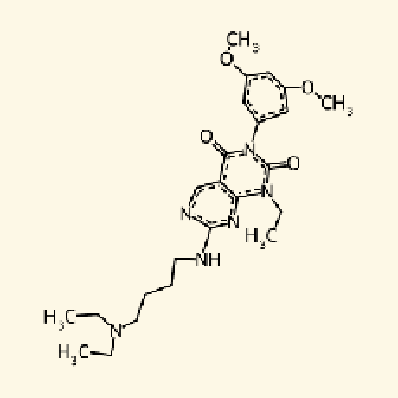 CCN(CC)CCCCNc1ncc2c(=O)n(-c3cc(OC)cc(OC)c3)c(=O)n(CC)c2n1